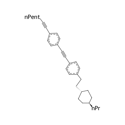 CCCCCC#Cc1ccc(C#Cc2ccc(CC[C@H]3CC[C@H](CCC)CC3)cc2)cc1